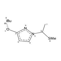 CC[C@@H](C)Oc1ccn(C(C)SC)n1